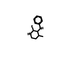 CC1CCNC(F)C1Nc1ccccc1